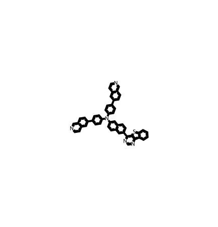 c1ccc2c(c1)sc1c(-c3ccc4cc(N(c5ccc(-c6ccc7cnccc7c6)cc5)c5ccc(-c6ccc7cnccc7c6)cc5)ccc4c3)ncnc12